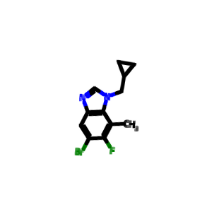 Cc1c(F)c(Br)cc2ncn(CC3CC3)c12